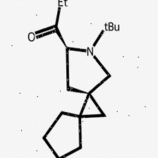 CCC(=O)[C@@H]1C[C@@]2(CN1C(C)(C)C)CC21CCCC1